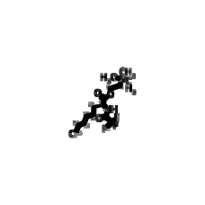 C[Si](C)(C)CCOC(=O)[C@H](CCCCCCl)NC(=O)C(F)(F)F